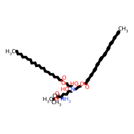 CC#CC#CC#CC#CC#CC#CC#CC#CC#CC#CC(=O)OCC(O)CN(CCCCC(N)C(=O)OC(C)(C)C)CC(O)COC(=O)CCCCCCCCCCCCCCCCCCCCC